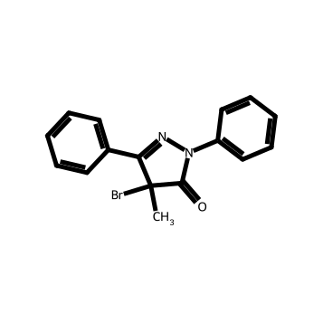 CC1(Br)C(=O)N(c2ccccc2)N=C1c1ccccc1